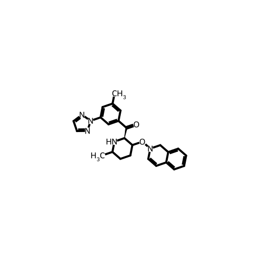 Cc1cc(C(=O)[C@@H]2NC(C)CCC2ON2C=Cc3ccccc3C2)cc(-n2nccn2)c1